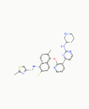 Cc1nc(CNc2c(F)ccc3c(Oc4ncccc4-c4ccnc(NC5CCCNC5)n4)c(C)ccc23)cs1